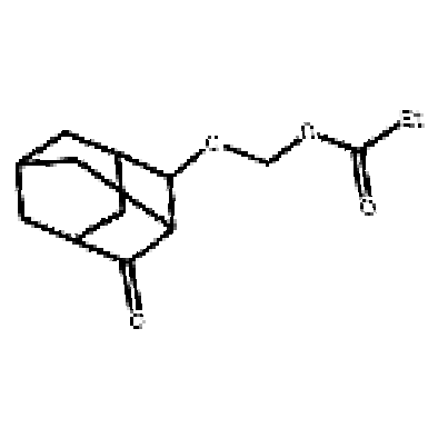 CCC(=O)OCOC1C2CC3CC(C2)C(=O)C1C3